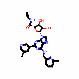 C=CNC(=O)[C@H]1O[C@@H](n2cnc3c(NCc4cccc(C)n4)nc(-c4cncc(C)c4)nc32)[C@H](O)[C@@H]1O